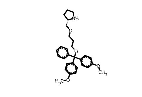 COc1ccc(C(OCCCOC[C@@H]2CCCN2)(c2ccccc2)c2ccc(OC)cc2)cc1